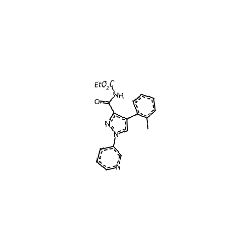 CCOC(=O)NC(=O)c1nn(-c2cccnc2)cc1-c1ccccc1C